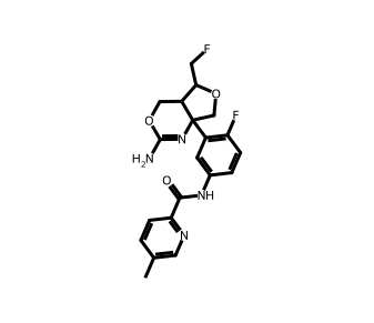 Cc1ccc(C(=O)Nc2ccc(F)c(C34COC(CF)C3COC(N)=N4)c2)nc1